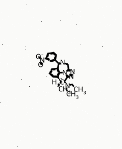 CCSc1cccc2c1-n1c(nnc1C(C)N(CC)CC)CN=C2c1cccc([N+](=O)[O-])c1